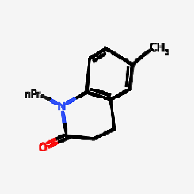 CCCN1C(=O)CCc2cc(C)ccc21